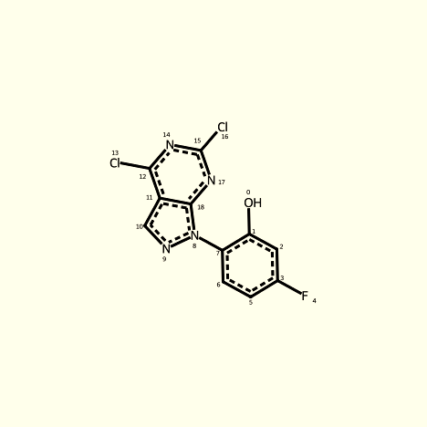 Oc1cc(F)ccc1-n1ncc2c(Cl)nc(Cl)nc21